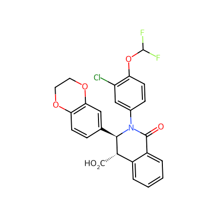 O=C(O)[C@H]1c2ccccc2C(=O)N(c2ccc(OC(F)F)c(Cl)c2)[C@@H]1c1ccc2c(c1)OCCO2